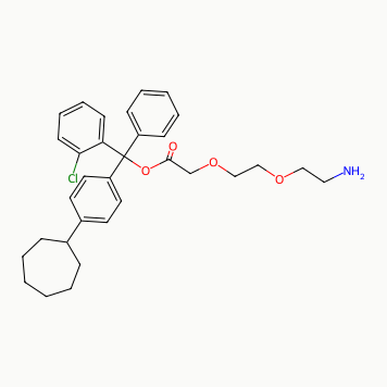 NCCOCCOCC(=O)OC(c1ccccc1)(c1ccc(C2CCCCCC2)cc1)c1ccccc1Cl